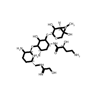 CN1[C@@H]2C(O)[C@@H](OC3C(O)C(O[C@H]4O[C@H](CNC(=N)CO)CCC4N)[C@@H](N)C[C@H]3NC(=O)[C@@H](O)CCN)OCC21O